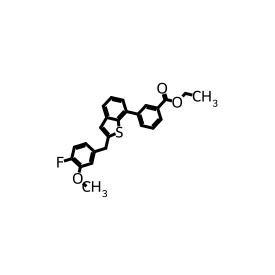 CCOC(=O)c1cccc(-c2cccc3cc(Cc4ccc(F)c(OC)c4)sc23)c1